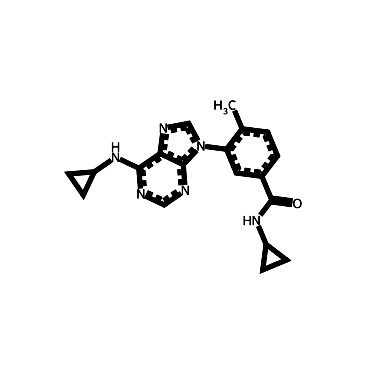 Cc1ccc(C(=O)NC2CC2)cc1-n1cnc2c(NC3CC3)ncnc21